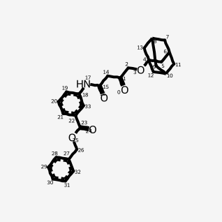 O=C(COC12CC3CC(CC(C3)C1)C2)CC(=O)Nc1cccc(C(=O)OCc2ccccc2)c1